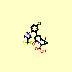 O=C(O)[C@@H]1C2C[C@H]2c2cc(-c3cc(Cl)ccc3-n3cc(C(F)(F)F)nn3)cc(=O)n21